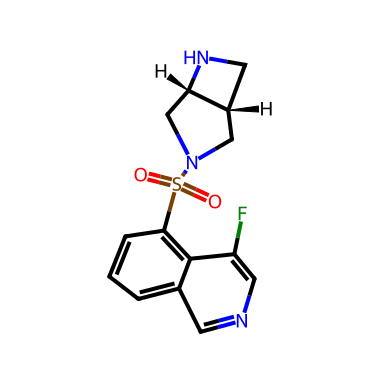 O=S(=O)(c1cccc2cncc(F)c12)N1C[C@H]2CN[C@H]2C1